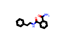 NC(=O)c1ccccc1C(=O)NCCc1ccccc1